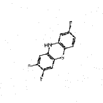 Fc1ccc2c(c1)Nc1cc(F)c(F)cc1S2